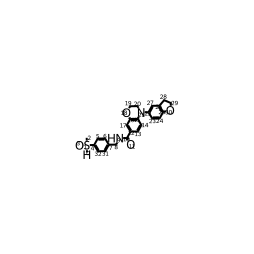 C[SH](C)(=O)c1ccc(CNC(=O)c2ccc3c(c2)OCCN3c2ccc3c(c2)CCO3)cc1